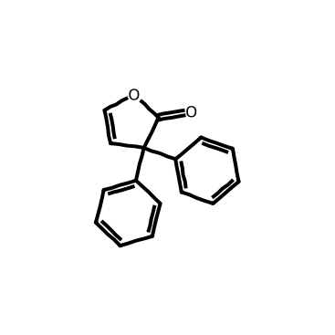 O=C1OC=CC1(c1ccccc1)c1ccccc1